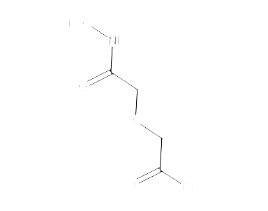 CNC(=O)CSCC(=O)O